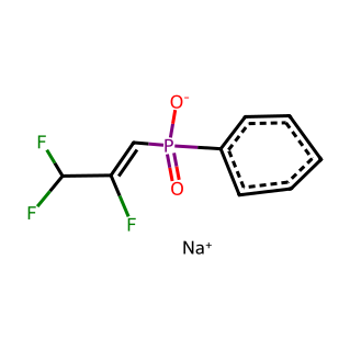 O=P([O-])(C=C(F)C(F)F)c1ccccc1.[Na+]